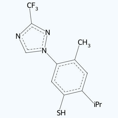 Cc1cc(C(C)C)c(S)cc1-n1cnc(C(F)(F)F)n1